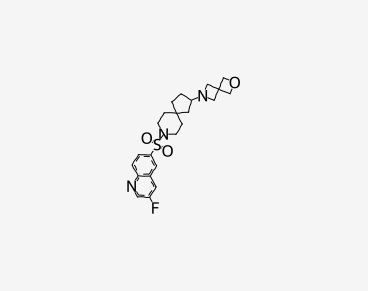 O=S(=O)(c1ccc2ncc(F)cc2c1)N1CCC2(CCC(N3CC4(COC4)C3)C2)CC1